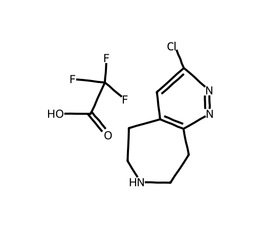 Clc1cc2c(nn1)CCNCC2.O=C(O)C(F)(F)F